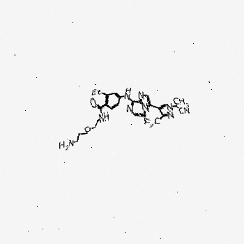 CCc1cc(Nc2nccn3c(-c4cn(C(C)C#N)nc4C(F)(F)F)cnc23)ccc1C(=O)NCCOCCCN